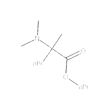 CCCOC(=O)C(C)(CCC)N(C)C